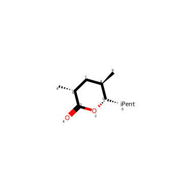 CCC[C@@H](C)[C@@H]1OC(=O)[C@H](C)C[C@H]1C